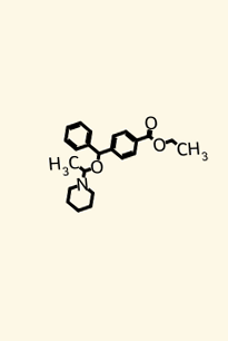 CCOC(=O)c1ccc(C(OC(C)N2CCCCC2)c2ccccc2)cc1